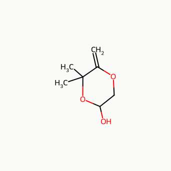 C=C1OCC(O)OC1(C)C